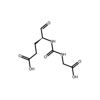 O=C[C@H](CCC(=O)O)NC(=O)NCC(=O)O